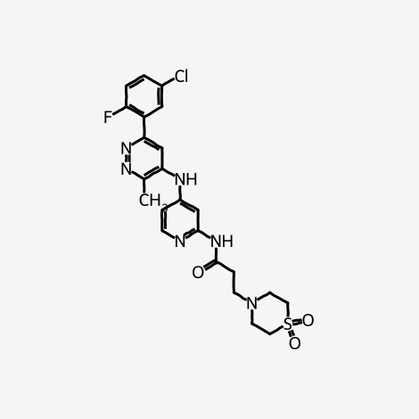 Cc1nnc(-c2cc(Cl)ccc2F)cc1Nc1ccnc(NC(=O)CCN2CCS(=O)(=O)CC2)c1